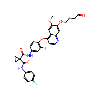 COc1cc2c(Oc3ccc(NC(=O)C4(C(=O)Nc5ccc(F)cc5)CC4)cc3F)ccnc2cc1OCCCC=O